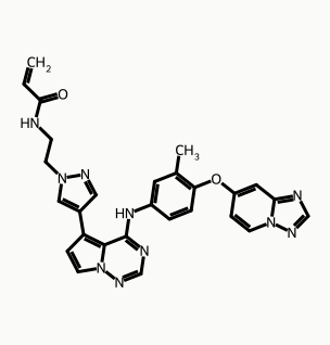 C=CC(=O)NCCn1cc(-c2ccn3ncnc(Nc4ccc(Oc5ccn6ncnc6c5)c(C)c4)c23)cn1